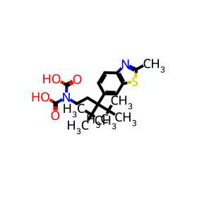 Cc1nc2ccc(C(CCN(C(=O)O)C(=O)O)(C(C)(C)C)C(C)(C)C)cc2s1